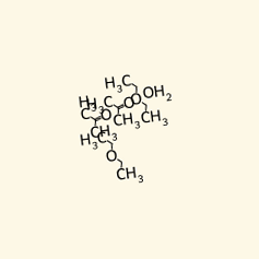 CC(C)=O.CC(C)=O.CCOCC.CCOCC.O